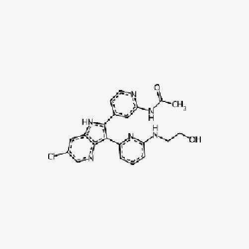 CC(=O)Nc1cc(-c2[nH]c3cc(Cl)cnc3c2-c2cccc(NCCO)n2)ccn1